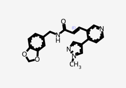 Cn1cc(-c2ccncc2/C=C/C(=O)NCc2ccc3c(c2)OCO3)cn1